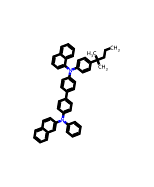 CCCC(C)(C)c1ccc(N(c2ccc(-c3ccc(N(c4ccccc4)c4ccc5ccccc5c4)cc3)cc2)c2cccc3ccccc23)cc1